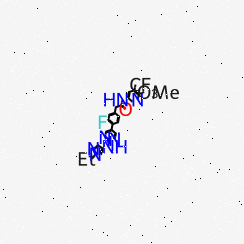 CCn1cc(Nc2ncc(-c3ccc(CC(=O)Nc4cnc(OC)c(C(F)(F)F)c4)cc3F)cn2)cn1